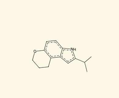 CC(C)c1cc2c3c(ccc2[nH]1)OCCC3